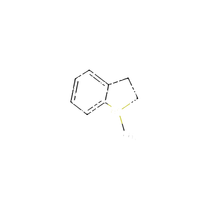 C[SH]1CCc2ccccc21